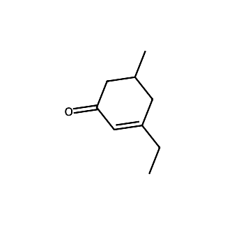 CCC1=CC(=O)CC(C)C1